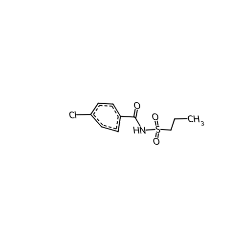 CCCS(=O)(=O)NC(=O)c1ccc(Cl)cc1